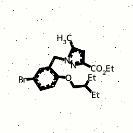 CCOC(=O)c1cc(C)n(Cc2cc(Br)ccc2OCC(CC)CC)n1